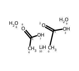 CC(=O)O.CC(=O)O.O.O.[LiH]